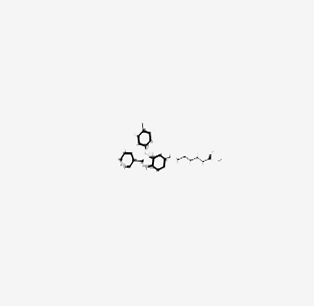 COC(=O)CCCCCOc1ccc2nc(-c3cccnc3)n(-c3ccc(C)cc3)c2c1